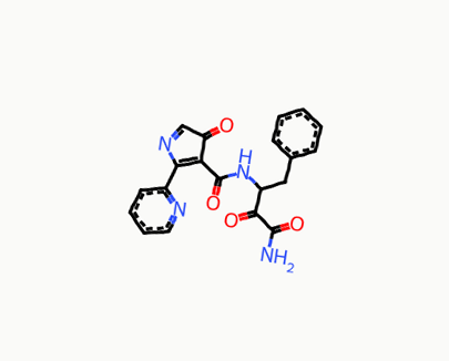 NC(=O)C(=O)C(Cc1ccccc1)NC(=O)C1=C(c2ccccn2)N=CC1=O